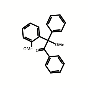 COc1ccccc1C(OC)(C(=O)c1ccccc1)c1ccccc1